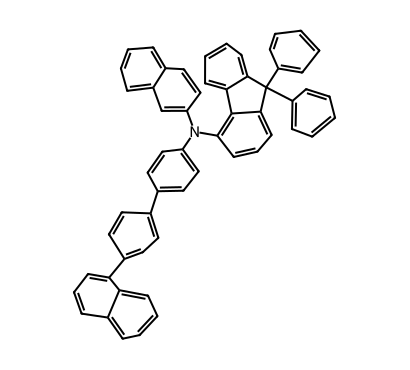 c1ccc(C2(c3ccccc3)c3ccccc3-c3c(N(c4ccc(-c5ccc(-c6cccc7ccccc67)cc5)cc4)c4ccc5ccccc5c4)cccc32)cc1